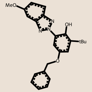 COc1ccc2nn(-c3cc(OCc4ccccc4)cc(C(C)(C)C)c3O)nc2c1